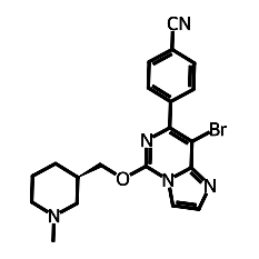 CN1CCC[C@@H](COc2nc(-c3ccc(C#N)cc3)c(Br)c3nccn23)C1